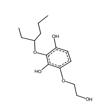 CCCC(CC)Oc1c(O)[c]cc(OCCO)c1O